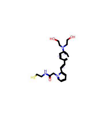 C=C(/C=C\C(=C/C)N(CCO)CCO)/C=C/c1cccc[n+]1CC(=O)NCCS